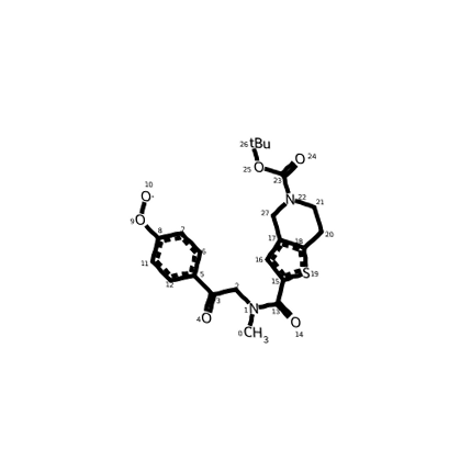 CN(CC(=O)c1c[c]c(O[O])cc1)C(=O)c1cc2c(s1)CCN(C(=O)OC(C)(C)C)C2